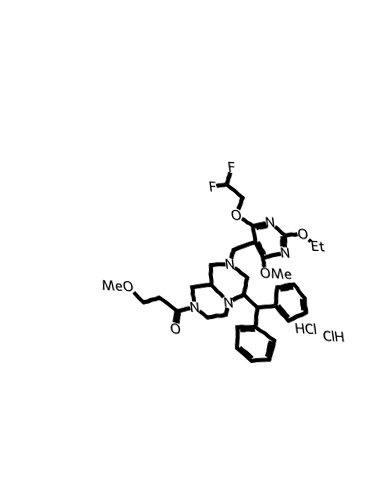 CCOc1nc(OC)c(CN2CC3CN(C(=O)CCOC)CCN3C(C(c3ccccc3)c3ccccc3)C2)c(OCC(F)F)n1.Cl.Cl